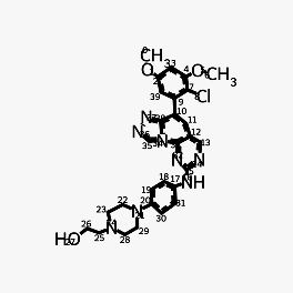 COc1cc(OC)c(Cl)c(-c2cc3cnc(Nc4ccc(N5CCN(CCO)CC5)cc4)nc3n3cnnc23)c1